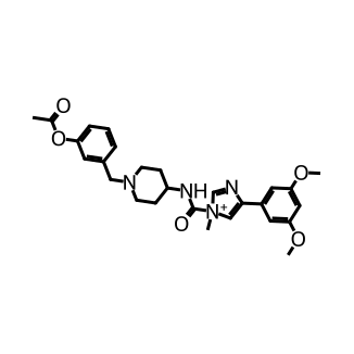 COc1cc(OC)cc(C2=C[N+](C)(C(=O)NC3CCN(Cc4cccc(OC(C)=O)c4)CC3)C=N2)c1